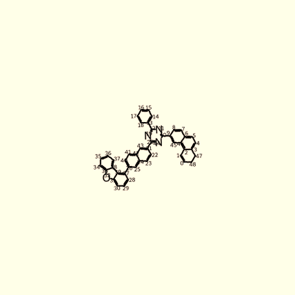 C1=Cc2c(ccc3ccc(-c4nc(-c5ccccc5)nc(-c5ccc6cc(-c7cccc8oc9ccccc9c78)ccc6c5)n4)cc23)CC1